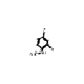 O=CNc1ccc(Cl)cc1Br